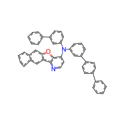 c1ccc(-c2ccc(-c3cccc(N(c4cccc(-c5ccccc5)c4)c4ccnc5c4oc4cc6ccccc6cc45)c3)cc2)cc1